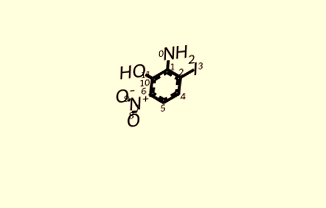 Nc1c(I)ccc([N+](=O)[O-])c1O